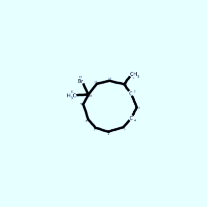 CC1CCCCCCCCC(C)(Br)CC1